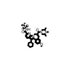 COc1ccc2c(c1)C=C(C(=O)N1CC(C)N(C)C(C)C1)Cn1c-2c(C2CCCCC2)c2ccc(C(=O)NS(=O)(=O)N(C)C)nc21